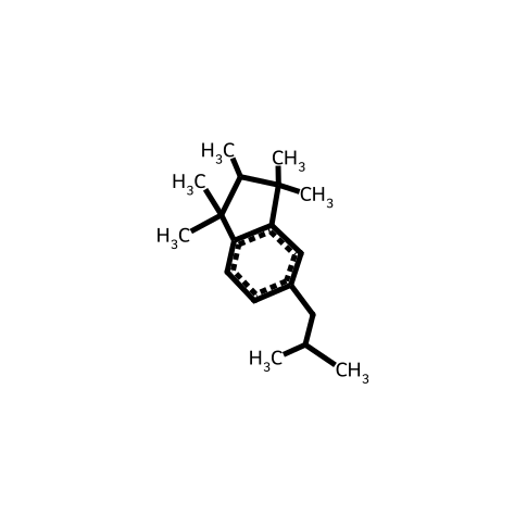 CC(C)Cc1ccc2c(c1)C(C)(C)C(C)C2(C)C